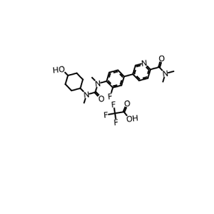 CN(C)C(=O)c1ccc(-c2ccc(N(C)C(=O)N(C)C3CCC(O)CC3)c(F)c2)cn1.O=C(O)C(F)(F)F